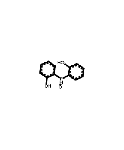 O=[PH](c1ccccc1O)c1ccccc1O